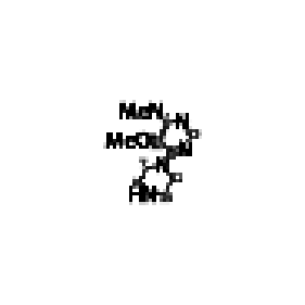 CNc1ncnc(N2CCNCC2)c1OC